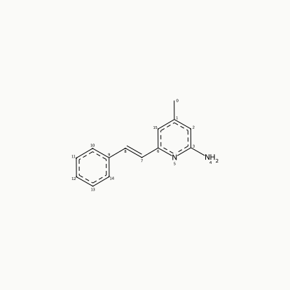 Cc1cc(N)nc(C=Cc2ccccc2)c1